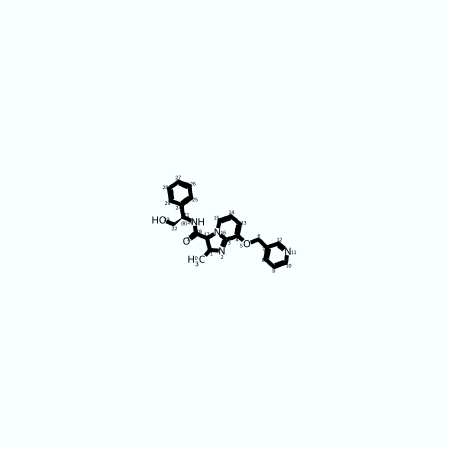 CC1N=C2C(OCc3cccnc3)=CC=CN2C1C(=O)N[C@@H](CO)c1ccccc1